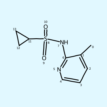 Cc1cccnc1NS(=O)(=O)C1CC1